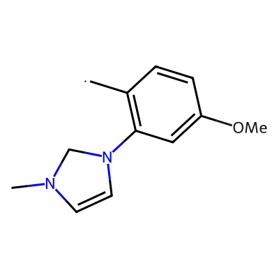 [CH2]c1ccc(OC)cc1N1C=CN(C)C1